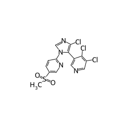 CS(=O)(=O)c1ccc(-n2cnc(Cl)c2-c2cncc(Cl)c2Cl)nc1